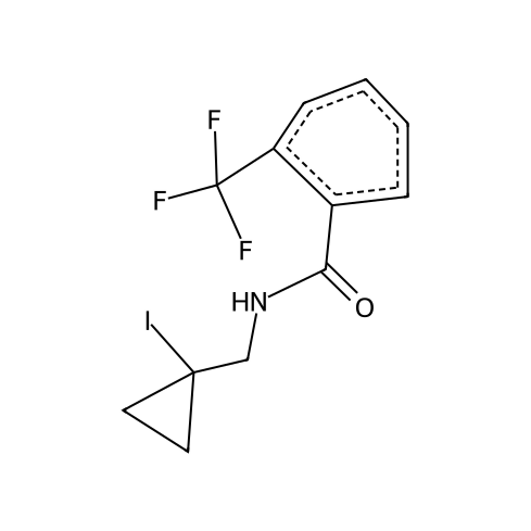 O=C(NCC1(I)CC1)c1ccccc1C(F)(F)F